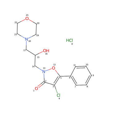 Cl.O=c1c(Cl)c(-c2ccccc2)on1CC(O)CN1CCOCC1